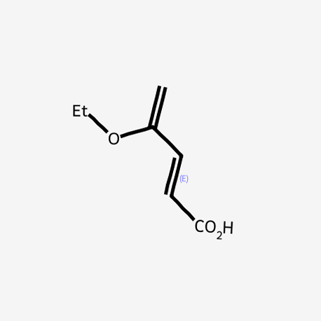 C=C(/C=C/C(=O)O)OCC